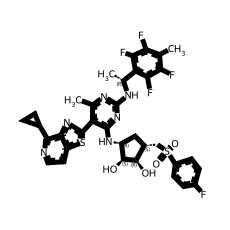 Cc1nc(N[C@H](C)c2c(F)c(F)c(C)c(F)c2F)nc(N[C@@H]2C[C@H](CS(=O)(=O)c3ccc(F)cc3)[C@@H](O)[C@H]2O)c1-c1nc2c(C3CC3)nccc2s1